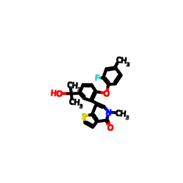 Cc1ccc(Oc2ccc(C(C)(C)O)cc2-c2cn(C)c(=O)c3ccsc23)c(F)c1